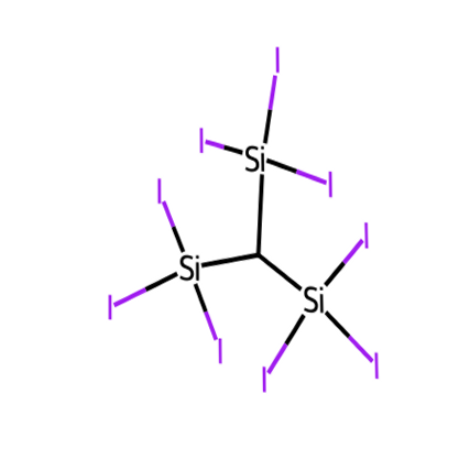 I[Si](I)(I)C([Si](I)(I)I)[Si](I)(I)I